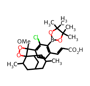 COC1(c2ccc(/C=C/C(=O)O)c(B3OC(C)(C)C(C)(C)O3)c2Cl)OOC12C(C)CC1CC(C)CC2C1